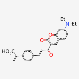 C=C(C(=O)O)c1ccc(/C=C/C(=O)c2cc3ccc(N(CC)CC)cc3oc2=O)cc1